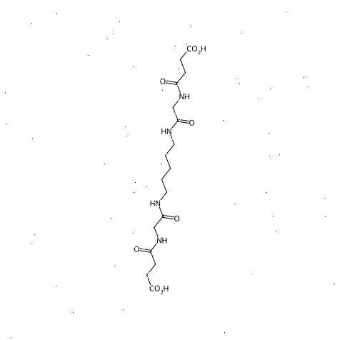 O=C(O)CCC(=O)NCC(=O)NCCCCCNC(=O)CNC(=O)CCC(=O)O